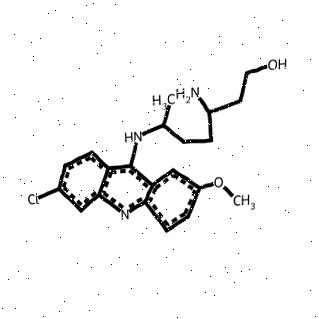 COc1ccc2nc3cc(Cl)ccc3c(NC(C)CCC(N)CCO)c2c1